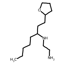 CCCCCC(CCC1CCCO1)NCCN